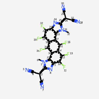 Cn1c(=C(C#N)C#N)nc2c(F)c(F)c3c(F)c4c(c(F)c(F)c5nc(=C(C#N)C#N)n(C)c54)c(F)c3c21